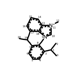 CC(C)c1cccc2c1-n1c[n+](C)c3cccc(c31)C2C